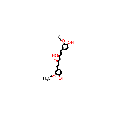 CCOc1cc(/C=C/C(=O)/C=C(O)/C=C/c2ccc(O)c(OCC)c2)ccc1O